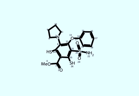 COC(=O)c1c(S)c(N2CCCC2)c(Oc2ccccc2)c(S(N)(=O)=O)c1S